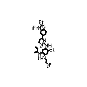 C=CC(=C)Nc1cc(NC/N=C(\C=C/N=C)c2ccc3nc(CC)n(C(C)C)c3c2)c(CC)cc1N(C)CCN(C)C